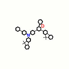 CC1(C)c2ccccc2-c2ccc(-c3cc(-c4ccc(N(c5ccc(-c6ccccc6)cc5)c5ccc6c(c5)C(C)(C)c5ccccc5-6)cc4)cc4c3oc3ccccc34)cc21